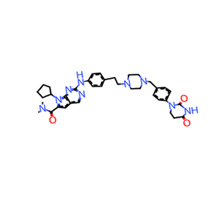 CN(C)C(=O)c1cc2cnc(Nc3ccc(CCN4CCN(Cc5ccc(N6CCC(=O)NC6=O)cc5)CC4)cc3)nc2n1C1CCCC1